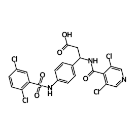 O=C(O)CC(NC(=O)c1c(Cl)cncc1Cl)c1ccc(NS(=O)(=O)c2cc(Cl)ccc2Cl)cc1